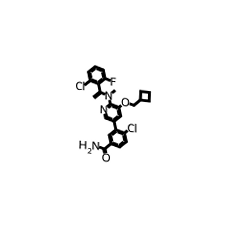 C=C(c1c(F)cccc1Cl)N(C)c1ncc(-c2cc(C(N)=O)ccc2Cl)cc1OCC1CCC1